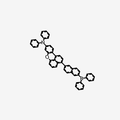 c1ccc(B(c2ccccc2)c2ccc3cc(-c4ccc5c6c(cccc46)Oc4cc(N(c6ccccc6)c6ccccc6)ccc4-5)ccc3c2)cc1